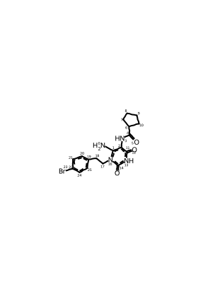 Nc1c(NC(=O)C2CCCC2)c(=O)[nH]c(=O)n1CCc1ccc(Br)cc1